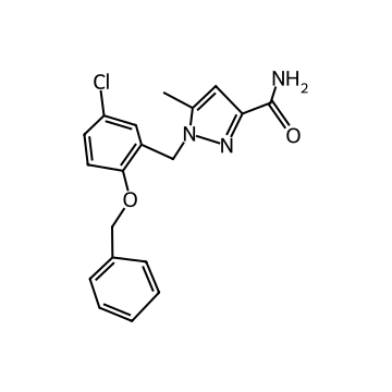 Cc1cc(C(N)=O)nn1Cc1cc(Cl)ccc1OCc1ccccc1